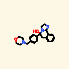 OC1(c2ccc(CN3CCOCC3)cc2)Cc2ccccc2C2=NCCN21